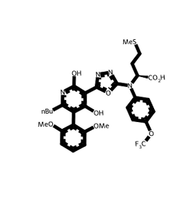 CCCCc1nc(O)c(-c2nnc(N(c3ccc(OC(F)(F)F)cc3)[C@@H](CCSC)C(=O)O)o2)c(O)c1-c1c(OC)cccc1OC